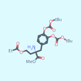 CCC(=O)OCC[C@@](N)(Cc1ccc(OC(=O)OC(C)(C)C)c(OC(=O)OC(C)(C)C)c1)C(=O)OC